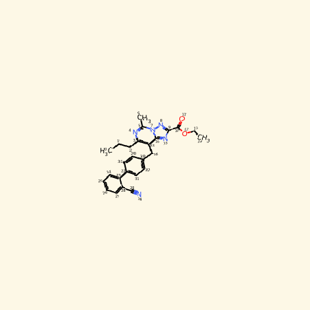 CCCc1nc(C)n2nc(C(=O)OCC)nc2c1Cc1ccc(-c2ccccc2C#N)cc1